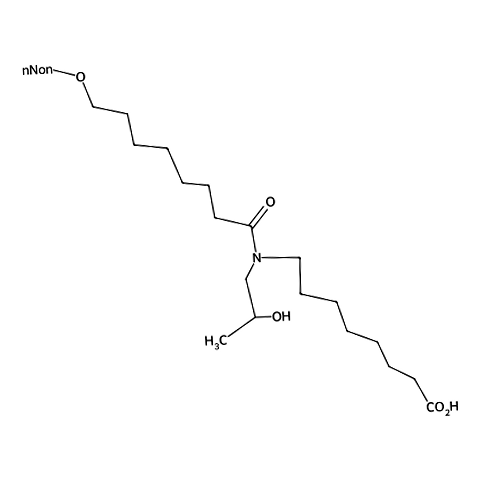 CCCCCCCCCOCCCCCCCC(=O)N(CCCCCCCC(=O)O)CC(C)O